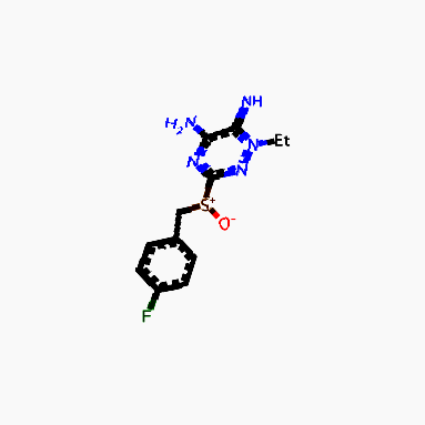 CCn1nc([S+]([O-])Cc2ccc(F)cc2)nc(N)c1=N